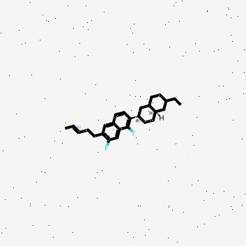 C/C=C/CCc1cc2ccc([C@@H]3CC[C@@H]4CC(CC)CCC4C3)c(F)c2cc1F